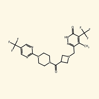 Cc1c(CN2CC(C(=O)N3CCN(c4ncc(C(F)(F)F)cn4)CC3)C2)n[nH]c(=O)c1C(F)(F)F